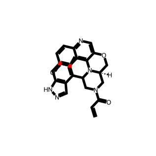 C=CC(=O)N1CC(c2c(C)ccc3[nH]ncc23)N2c3c(cnc4ccc(Cl)cc34)OC[C@H]2C1